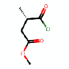 COC(=O)C[C@H](C)C(=O)Cl